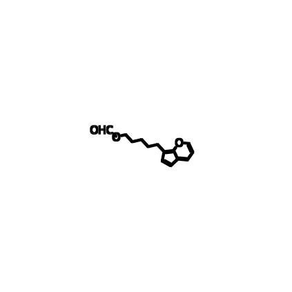 O=COCCCCCc1ccc2cccoc1-2